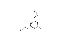 CCOCc1cc(C)cc(COCC)c1